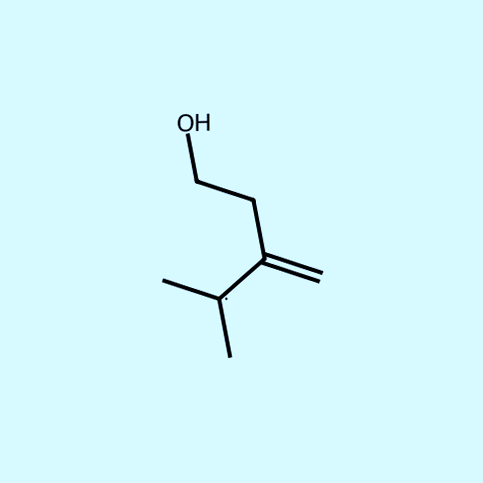 C=C(CCO)[C](C)C